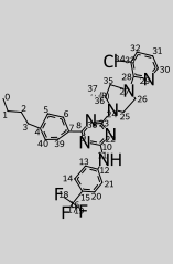 CCCCc1ccc(-c2nc(Nc3ccc(C(F)(F)F)cc3)nc(N3CCN(c4ncccc4Cl)C[C@H]3C)n2)cc1